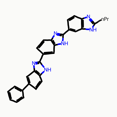 CCCc1nc2ccc(-c3nc4ccc(-c5nc6cc(-c7ccccc7)ccc6[nH]5)cc4[nH]3)cc2[nH]1